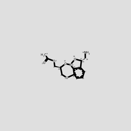 CC(=O)OC[C@@H]1COc2cccc3c2B(O1)O[C@@H]3CN